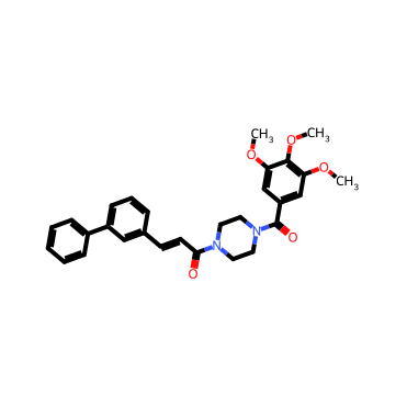 COc1cc(C(=O)N2CCN(C(=O)/C=C/c3cccc(-c4ccccc4)c3)CC2)cc(OC)c1OC